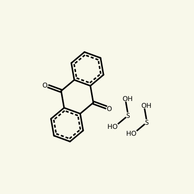 O=C1c2ccccc2C(=O)c2ccccc21.OSO.OSO